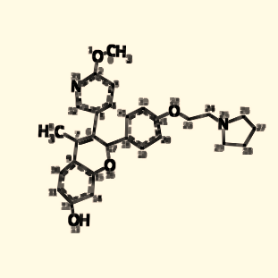 COc1ccc(C2=C(C)c3ccc(O)cc3OC2c2ccc(OCCN3CCCC3)cc2)cn1